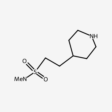 CNS(=O)(=O)CCC1CCNCC1